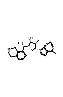 Cc1ncnc2c1ccn2[C@@H]1C[C@H]([C@@H](O)c2cccc3c2CNCC3)[C@@H](O)[C@H]1C